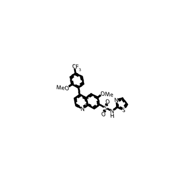 COc1cc(C(F)(F)F)ccc1-c1ccnc2cc(S(=O)(=O)Nc3nccs3)c(OC)cc12